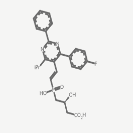 CC(C)c1nc(-c2ccccc2)nc(-c2ccc(F)cc2)c1C=CP(=O)(O)C[C@@H](O)CC(=O)O